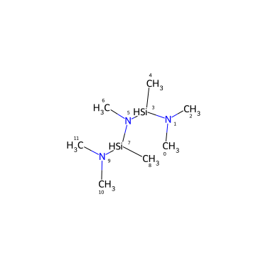 CN(C)[SiH](C)N(C)[SiH](C)N(C)C